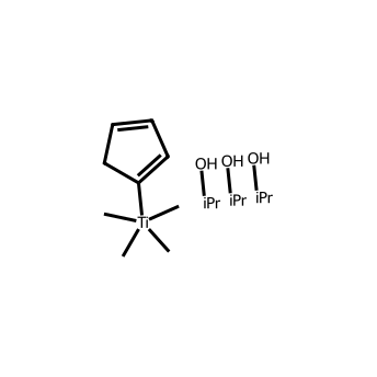 CC(C)O.CC(C)O.CC(C)O.[CH3][Ti]([CH3])([CH3])([CH3])[C]1=CC=CC1